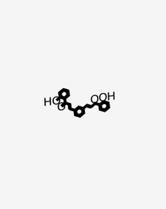 O=C(C=Cc1cccc(C=CC(=O)c2ccccc2O)c1)c1ccccc1O